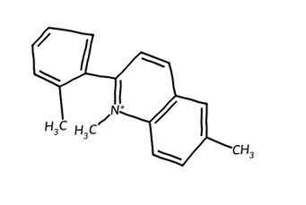 Cc1ccc2c(ccc(-c3ccccc3C)[n+]2C)c1